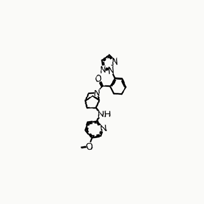 COc1ccc(NC2CC3CC2N(C(=O)C2=C(n4nccn4)C=CCC2)C3)nc1